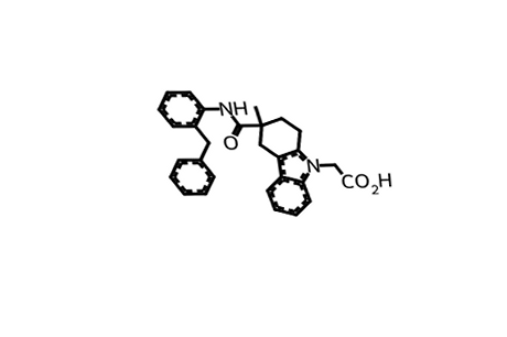 CC1(C(=O)Nc2ccccc2Cc2ccccc2)CCc2c(c3ccccc3n2CC(=O)O)C1